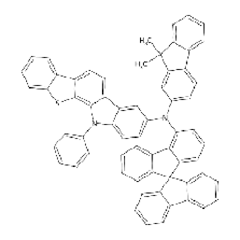 CC1(C)c2ccccc2-c2ccc(N(c3ccc4c(c3)c3ccc5c6ccccc6sc5c3n4-c3ccccc3)c3cccc4c3-c3ccccc3C43c4ccccc4-c4ccccc43)cc21